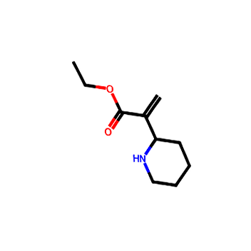 C=C(C(=O)OCC)C1CCCCN1